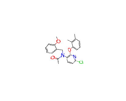 COc1ccccc1CN(C(C)=O)c1ccc(Cl)nc1Oc1cccc(C)c1C